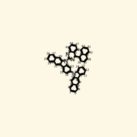 c1ccc2cc3c(cc2c1)c1ccccc1n3-c1ccc2c3cc4ccccc4cc3n(-c3nc(-c4cccc5ccccc45)c4ccccc4n3)c2c1